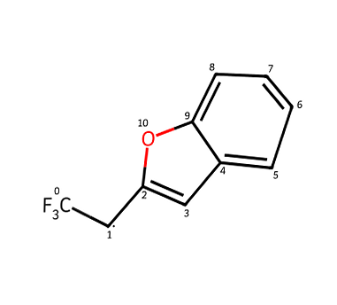 FC(F)(F)[CH]c1cc2ccccc2o1